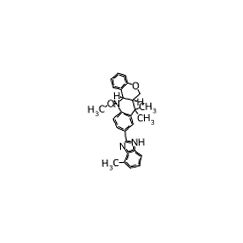 CON1c2ccc(-c3nc4c(C)cccc4[nH]3)cc2C(C)(C)[C@H]2COc3ccccc3[C@H]21